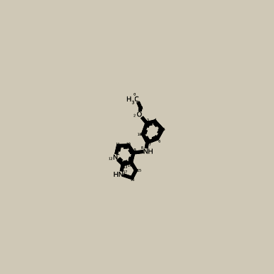 CCOc1cccc(Nc2ccnc3c2CCN3)c1